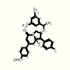 CC(O[C@H]1CN2C(=O)C=C(c3ccc(C=O)cc3)C[C@H]2C1c1ccc(F)cc1)c1cc(C(F)(F)F)cc(C(F)(F)F)c1